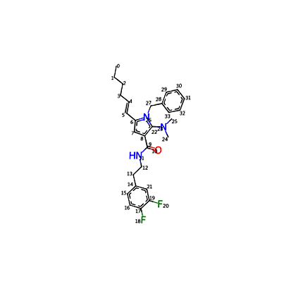 CCCC/C=C/c1cc(C(=O)NCCc2ccc(F)c(F)c2)c(N(C)C)n1Cc1ccccc1